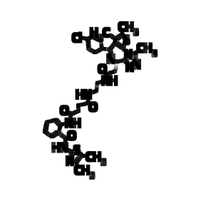 Cc1nc(NC(=O)c2ccccc2NC(=O)CCC(=O)NCCNC(=O)C[C@@H]2N=C(C3C=CC(Cl)=CC3)c3c(sc(C)c3C)-n3c(C)nnc32)sc1C